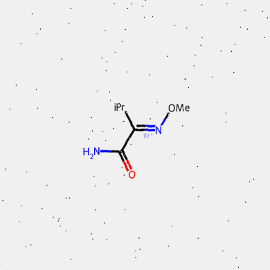 CO/N=C(/C(N)=O)C(C)C